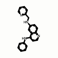 c1ccc(Nc2ccnc3ccc(NCc4ccccn4)cc23)cc1